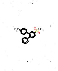 CS(=O)(=O)c1ccc(-c2ccccc2)c(-c2ccc(C(F)(F)F)cc2)c1